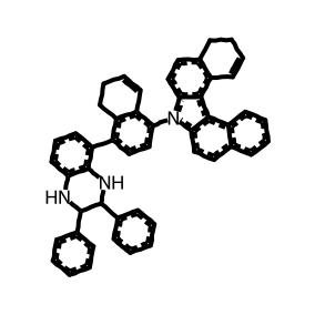 C1=Cc2c(ccc3c2c2c4ccccc4ccc2n3-c2ccc(-c3cccc4c3NC(c3ccccc3)C(c3ccccc3)N4)c3c2C=CCC3)CC1